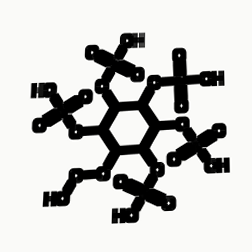 O=S(=O)(O)OC1C(OOO)C(OS(=O)(=O)O)C(OS(=O)(=O)O)C(OS(=O)(=O)O)C1OS(=O)(=O)O